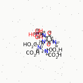 O=C(O)CN(CCN(CC(=O)O)CC(=O)O)CC(=O)O.O=C1C=C(N2CC2)C(=O)C(N2CC2)=C1N1CC1.O=P(O)(O)O